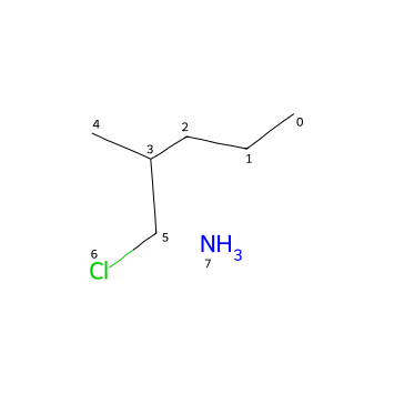 CCCC(C)CCl.N